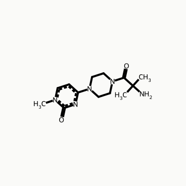 Cn1ccc(N2CCN(C(=O)C(C)(C)N)CC2)nc1=O